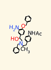 CC(=O)Nc1ccc(CC(C)N(Cc2ccccc2)CC(O)c2ccc(OCc3ccccc3)c(N)c2)cc1